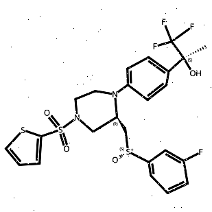 C[C@](O)(c1ccc(N2CCN(S(=O)(=O)c3cccs3)C[C@@H]2C[S@@+]([O-])c2cccc(F)c2)cc1)C(F)(F)F